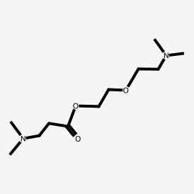 CN(C)CCOCCOC(=O)CCN(C)C